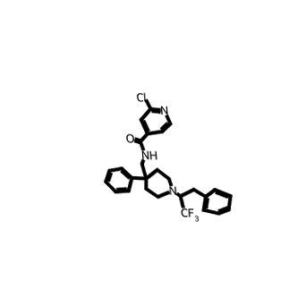 O=C(NCC1(c2ccccc2)CCN(C(Cc2ccccc2)C(F)(F)F)CC1)c1ccnc(Cl)c1